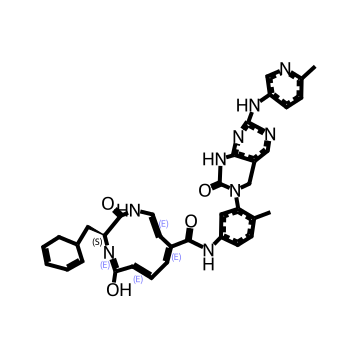 Cc1ccc(Nc2ncc3c(n2)NC(=O)N(c2cc(NC(=O)C4=C/C=C/C(O)=N\[C@@H](CC5C=CC=CC5)C(=O)N\C=C\4)ccc2C)C3)cn1